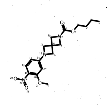 CCCCOC(=O)N1CC2(C1)CN(c1ccc([N+](=O)[O-])c(OC)c1)C2